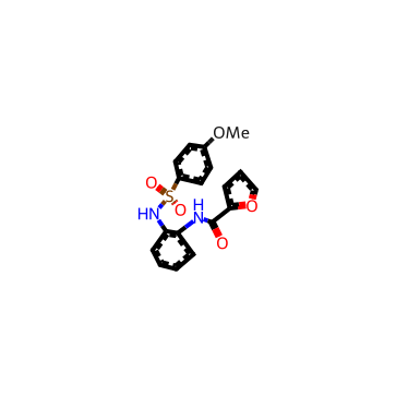 COc1ccc(S(=O)(=O)Nc2ccccc2NC(=O)c2ccco2)cc1